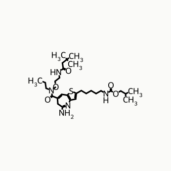 CCCN(OCCNC(=O)CC(C)(C)C)C(=O)C1=Cc2sc(CCCCCNC(=O)OCC(C)C)cc2N=C(N)C1